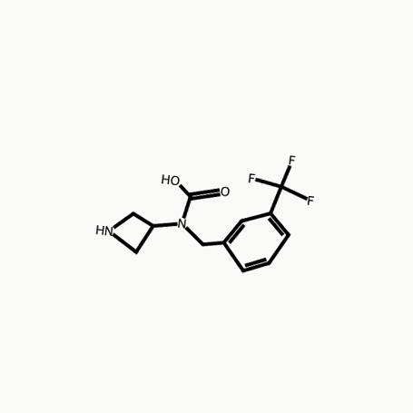 O=C(O)N(Cc1cccc(C(F)(F)F)c1)C1CNC1